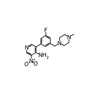 CN1CCN(Cc2cc(F)cc(-c3cncc([N+](=O)[O-])c3N)c2)CC1